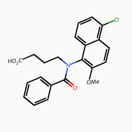 COc1ccc2c(Cl)cccc2c1N(CCCC(=O)O)C(=O)c1ccccc1